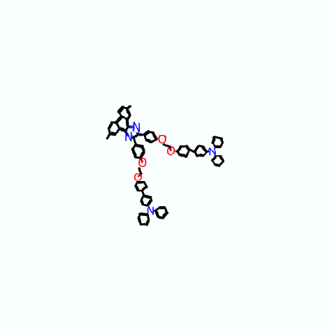 Cc1ccc2c3ccc(C)cc3c3nc(-c4ccc(OCCOc5ccc(-c6ccc(N(c7ccccc7)c7ccccc7)cc6)cc5)cc4)c(-c4ccc(OCCOc5ccc(-c6ccc(N(c7ccccc7)c7ccccc7)cc6)cc5)cc4)nc3c2c1